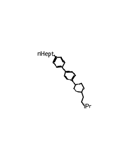 CCCCCCCc1ccc(-c2ccc(C3CCC(CCC(C)C)CC3)cc2)cc1